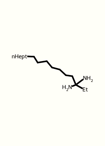 CCCCCCCCCCCCCCC(N)(N)CC